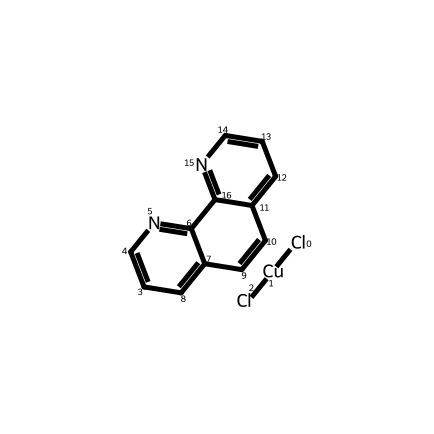 [Cl][Cu][Cl].c1cnc2c(c1)ccc1cccnc12